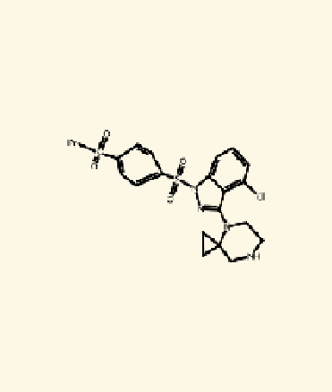 CC(C)S(=O)(=O)c1ccc(S(=O)(=O)n2nc(N3CCNCC34CC4)c3c(Cl)cccc32)cc1